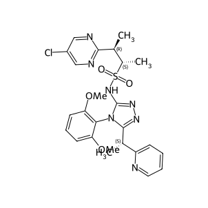 COc1cccc(OC)c1-n1c(NS(=O)(=O)[C@@H](C)[C@H](C)c2ncc(Cl)cn2)nnc1[C@@H](C)c1ccccn1